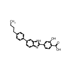 CCCCc1ccc(-c2ccc3nc(-c4ccc(C(=O)O)c(O)c4)[nH]c3c2)cc1